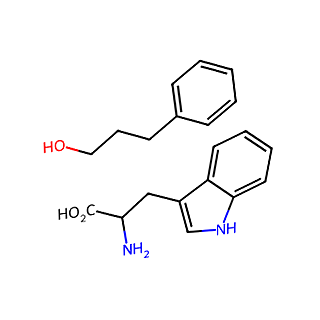 NC(Cc1c[nH]c2ccccc12)C(=O)O.OCCCc1ccccc1